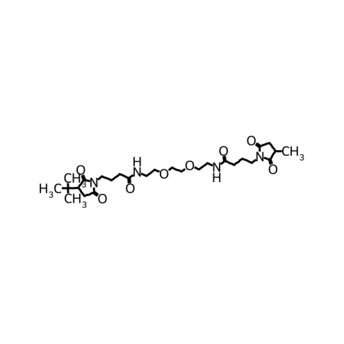 CC1CC(=O)N(CCCC(=O)NCCOCCOCCNC(=O)CCCN2C(=O)CC(C(C)(C)C)C2=O)C1=O